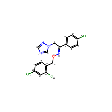 Clc1ccc(C(Cn2cncn2)=NOCc2ccc(Cl)cc2Cl)cc1